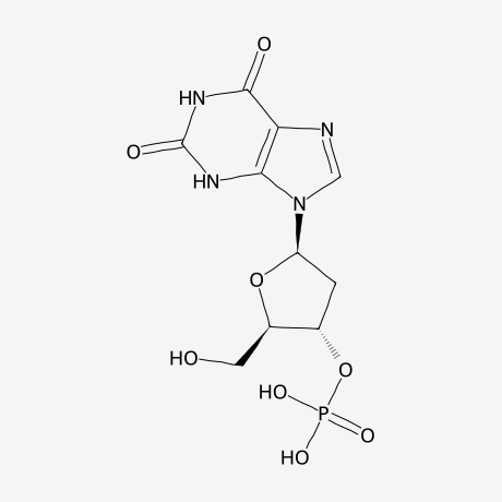 O=c1[nH]c(=O)c2ncn([C@H]3C[C@H](OP(=O)(O)O)[C@@H](CO)O3)c2[nH]1